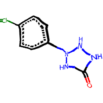 O=C1NNN(c2ccc(Cl)cc2)N1